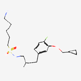 CC(CNS(=O)(=O)CCCCCN)Cc1ccc(F)c(OCC2CC2)c1